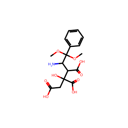 COC(OC)(c1ccccc1)C(N)C(C(=O)O)C(O)(CC(=O)O)C(=O)O